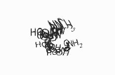 CNc1ncnc2c1ncn2C1OC(COP(=O)(O)OP(=O)(O)OCC2CC([n+]3cccc(C(N)=O)c3)C(O)C2O)C2OP(=O)(O)OC21